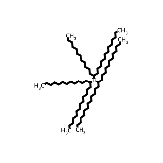 CCCCCCCCCCCCC[CH](CCCCCCCCCCCC)[Ti]([CH](CCCCCCCCCCCC)CCCCCCCCCCCCC)[CH](CCCCCCCCCCCC)CCCCCCCCCCCCC